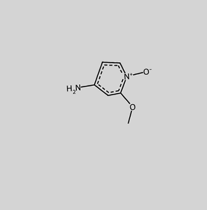 COc1cc(N)cc[n+]1[O-]